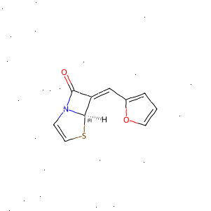 O=C1C(=Cc2ccco2)[C@H]2SC=CN12